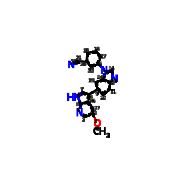 COc1cnc2[nH]cc(-c3ccc4ncn(-c5cccc(C#N)c5)c4c3)c2c1